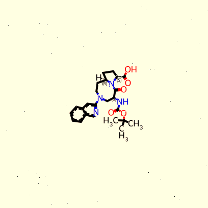 CC(C)(C)OC(=O)N[C@H]1CN(c2cc3ccccc3cn2)CC[C@H]2CC[C@@H](C(=O)O)N2C1=O